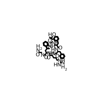 CN(CC(N)=O)C(=O)C(Cc1c[nH]c2ccccc12)NC(=O)C(CCCNC(=N)N)NC(=O)C(Cc1ccccc1)NC(=O)C(CNC(=O)OC(C)(C)C)Cc1ccc(O)cc1